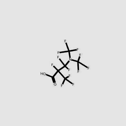 O=C(O)C(F)(C(F)(F)F)C(F)(F)N(C(F)(F)F)C(F)(F)F